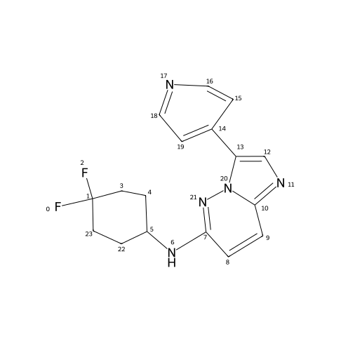 FC1(F)CCC(Nc2ccc3ncc(-c4ccncc4)n3n2)CC1